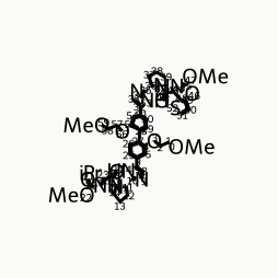 COCCOc1cc(-c2cnc([C@@H]3CCCN3C(=O)[C@@H](NC(=O)OC)C(C)C)[nH]2)ccc1-c1ccc(-c2cnc([C@@H]3CCCN3C(=O)[C@H](NC(=O)OC)c3cccs3)[nH]2)cc1OCCOC